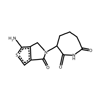 Nc1scc2c1CN(C1CCCC(=O)NC1=O)C2=O